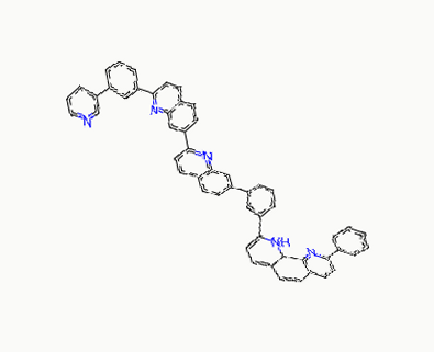 C1=Cc2ccc(-c3ccccc3)nc2C2NC(c3cccc(-c4ccc5ccc(-c6ccc7ccc(-c8cccc(-c9cccnc9)c8)nc7c6)nc5c4)c3)=CC=C12